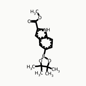 COC(=O)c1cc2cc(B3OC(C)(C)C(C)(C)O3)ccc2[nH]1